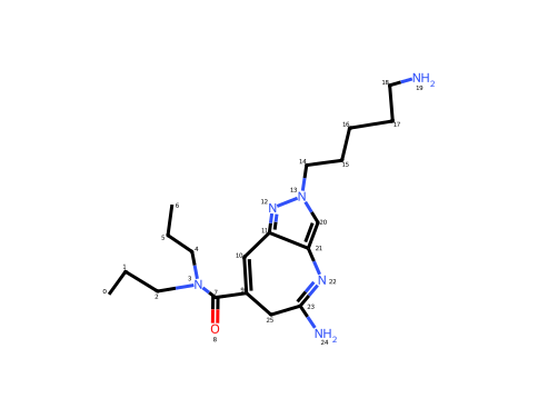 CCCN(CCC)C(=O)C1=Cc2nn(CCCCCN)cc2N=C(N)C1